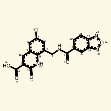 O=C(NCc1cc(Cl)cc2cc(C(=O)O)c(=O)[nH]c12)c1ccc2nonc2c1